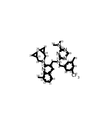 Cc1cc(CN(Cc2cc3cccc(C)c3nc2N(CC2CC2)CC2CC2)c2ncnc(N(C)C)n2)cc(C(F)(F)F)c1